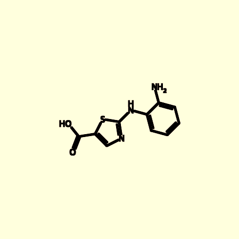 Nc1ccccc1Nc1ncc(C(=O)O)s1